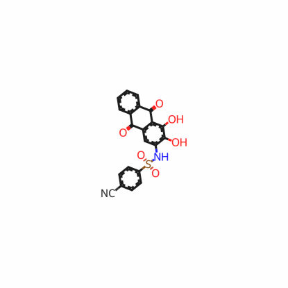 N#Cc1ccc(S(=O)(=O)Nc2cc3c(c(O)c2O)C(=O)c2ccccc2C3=O)cc1